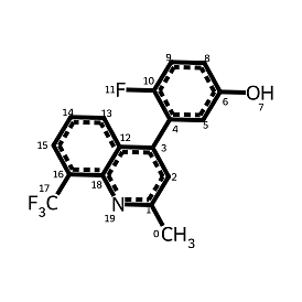 Cc1cc(-c2cc(O)ccc2F)c2cccc(C(F)(F)F)c2n1